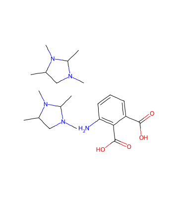 CC1CN(C)C(C)N1C.CC1CN(C)C(C)N1C.Nc1cccc(C(=O)O)c1C(=O)O